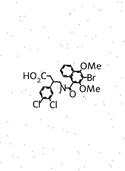 COc1c(Br)c(OC)c2ccccc2c1C(=O)N(C)CC(CC(=O)O)c1ccc(Cl)c(Cl)c1